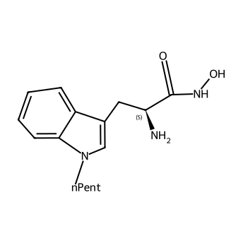 CCCCCn1cc(C[C@H](N)C(=O)NO)c2ccccc21